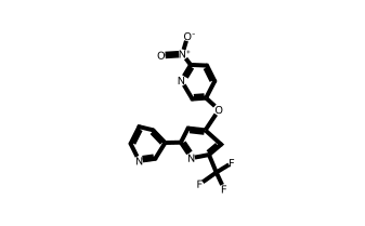 O=[N+]([O-])c1ccc(Oc2cc(-c3cccnc3)nc(C(F)(F)F)c2)cn1